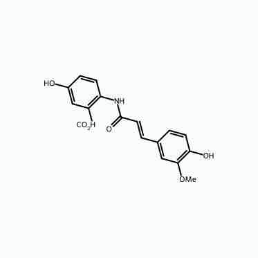 COc1cc(C=CC(=O)Nc2ccc(O)cc2C(=O)O)ccc1O